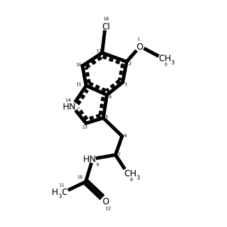 COc1cc2c(CC(C)NC(C)=O)c[nH]c2cc1Cl